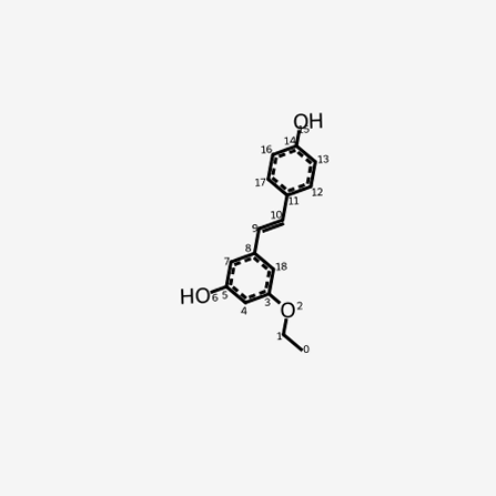 CCOc1cc(O)cc(C=Cc2ccc(O)cc2)c1